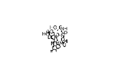 CC[C@@]1(O)C(=O)OCc2c1cc1n(c2=O)Cc2c-1nc1cc(F)c(C)c3c1c2[C@@H](NC(=O)C1(OCNC(=O)CNC(=O)O)CC1)CC3